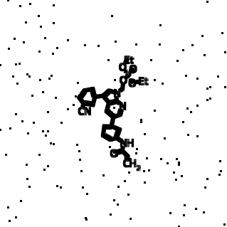 C=CC(=O)Nc1cccc(-c2cnc3c(c2)c(-c2cccc(C#N)c2)cn3COP(=O)(OCC)OCC)c1